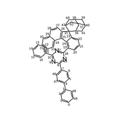 c1ccc(-c2ccc(-c3nc(-c4ccccc4)nc(-c4cccc5c4-c4c(ccc6ccccc46)C54C5CC6CC(C5)CC4C6)n3)cc2)cc1